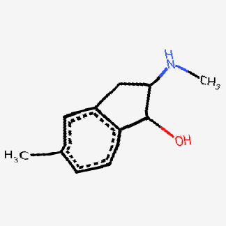 CNC1Cc2cc(C)ccc2C1O